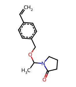 C=Cc1ccc(COC(C)N2CCCC2=O)cc1